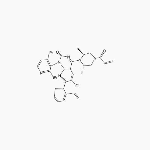 C=CC(=O)N1C[C@H](C)N(c2nc(=O)n(-c3c(C(C)C)ccnc3C(C)C)c3nc(-c4ccccc4C=C)c(Cl)cc23)[C@@H](C)C1